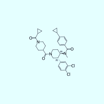 CN(C(=O)c1ccc(C2CC2)cc1)[C@@H]1CCN(C(=O)C2CCN(C(=O)C3CC3)CC2)C[C@H]1c1ccc(Cl)c(Cl)c1